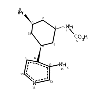 CC(C)[C@H]1C[C@H](NC(=O)O)C[C@@H](c2ccncc2N)C1